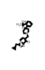 CC1(C)OC2(CCN(Cc3ccn4c(CC5CC5)nnc4c3Cl)CC2)c2ccccc21